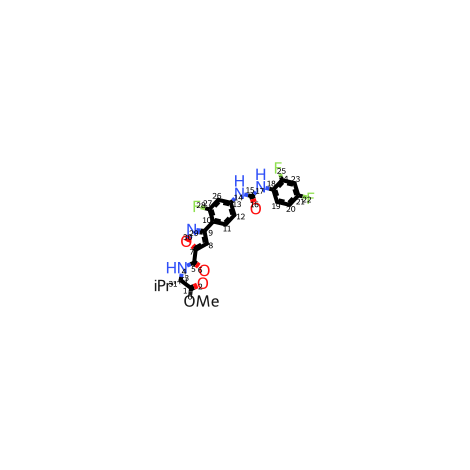 COC(=O)[C@@H](NC(=O)c1cc(-c2ccc(NC(=O)Nc3ccc(F)cc3F)cc2F)no1)C(C)C